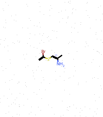 C=C(Br)S/C=C(/C)N